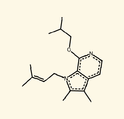 CC(C)=CCn1c(C)c(C)c2ccnc(OCC(C)C)c21